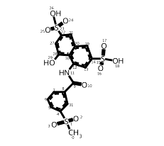 CS(=O)(=O)c1cccc(C(=O)Nc2cc(S(=O)(=O)O)cc3cc(S(=O)(=O)O)cc(O)c23)c1